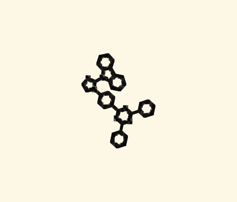 c1ccc(-c2nc(-c3ccccc3)nc(-c3ccc(-n4ccnc4-n4c5ccccc5c5ccccc54)cc3)n2)cc1